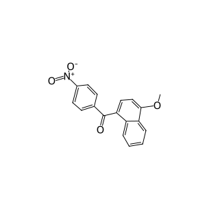 COc1ccc(C(=O)c2ccc([N+](=O)[O-])cc2)c2ccccc12